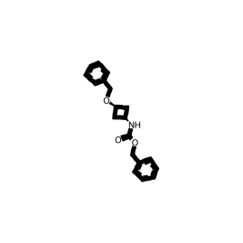 O=C(N[C@H]1C[C@H](OCc2ccccc2)C1)OCc1ccccc1